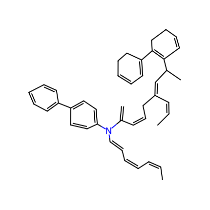 C=C(/C=C\CC(/C=C\C)=C/C(C)C1=C(C2=CC=CCC2)CCC=C1)N(/C=C/C=C\C=C/C)c1ccc(-c2ccccc2)cc1